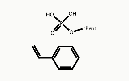 C=Cc1ccccc1.CCCCCOP(=O)(O)O